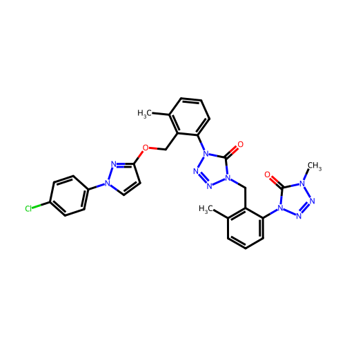 Cc1cccc(-n2nnn(C)c2=O)c1Cn1nnn(-c2cccc(C)c2COc2ccn(-c3ccc(Cl)cc3)n2)c1=O